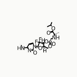 CNc1ccn([C@@H]2O[C@@H]3CO[P@](=O)(CN[C@@H](C)C(=O)OC(C)C)O[C@H]3C2(F)F)c(=O)n1